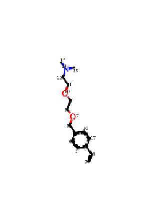 C=Cc1ccc(COCCOCCN(C)C)cc1